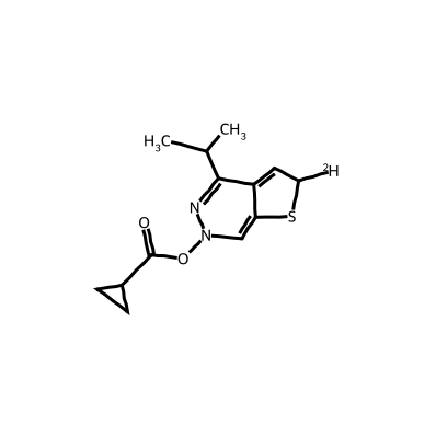 [2H]C1C=C2C(=CN(OC(=O)C3CC3)N=C2C(C)C)S1